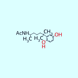 CC(=O)NC(C)CCCC(C)(C)c1cc(O)ccc1O